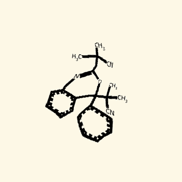 CC(C)(C#N)C1=Nc2ccccc2C(c2ccccc2)(C(C)(C)C#N)O1